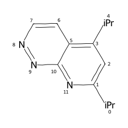 CC(C)c1cc(C(C)C)c2ccnnc2n1